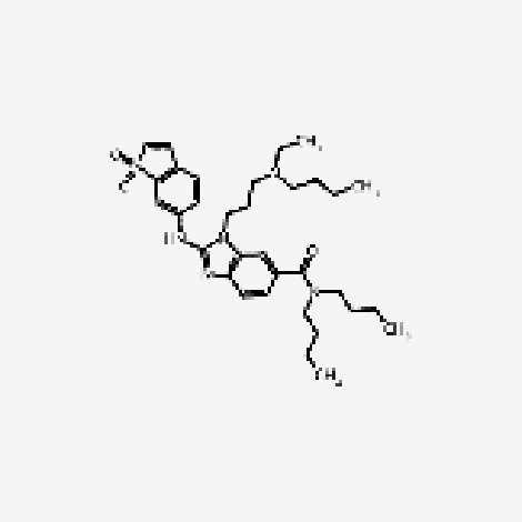 CCCCN(CC)CCCn1c(Nc2ccc3c(c2)S(=O)(=O)C=C3)nc2ccc(C(=O)N(CCCC)CCCC)cc21